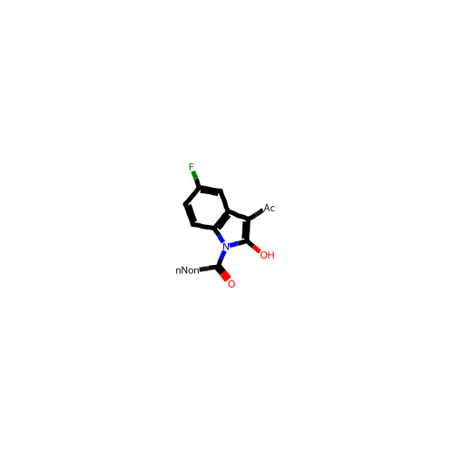 CCCCCCCCCC(=O)n1c(O)c(C(C)=O)c2cc(F)ccc21